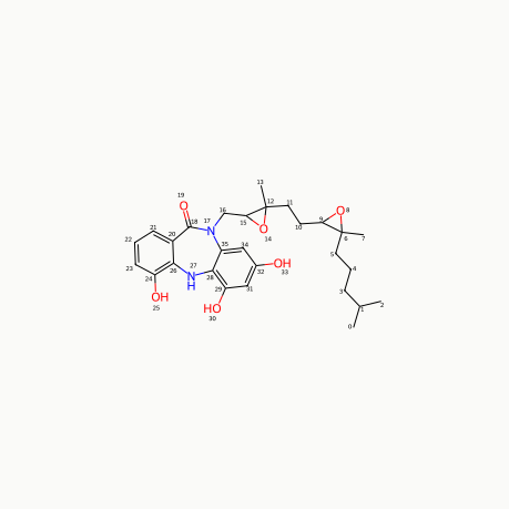 CC(C)CCCC1(C)OC1CCC1(C)OC1CN1C(=O)c2cccc(O)c2Nc2c(O)cc(O)cc21